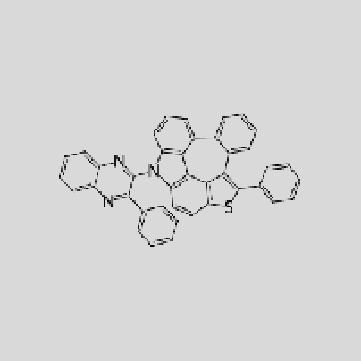 c1ccc(-c2nc3ccccc3nc2-n2c3cccc4c3c3c5c(c(-c6ccccc6)sc5ccc32)-c2ccccc2-4)cc1